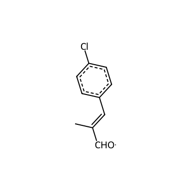 CC([C]=O)=Cc1ccc(Cl)cc1